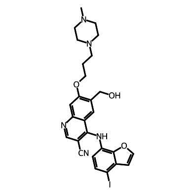 CN1CCN(CCCOc2cc3ncc(C#N)c(Nc4ccc(I)c5ccoc45)c3cc2CO)CC1